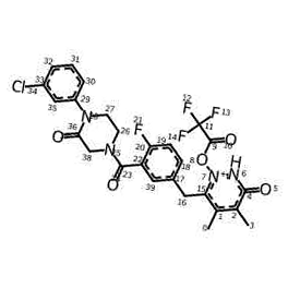 Cc1c(C)c(=O)[nH][n+](OC(=O)C(F)(F)F)c1Cc1ccc(F)c(C(=O)N2CCN(c3cccc(Cl)c3)C(=O)C2)c1